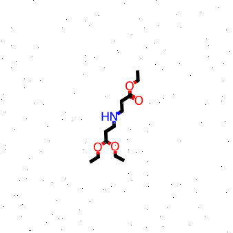 CCOC(=O)CCNCCC(OCC)OCC